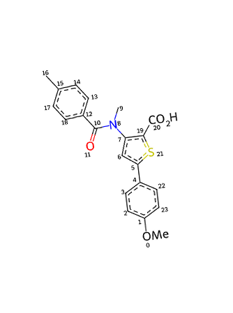 COc1ccc(-c2cc(N(C)C(=O)c3ccc(C)cc3)c(C(=O)O)s2)cc1